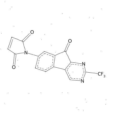 O=C1c2cc(N3C(=O)C=CC3=O)ccc2-c2cnc(C(F)(F)F)nc21